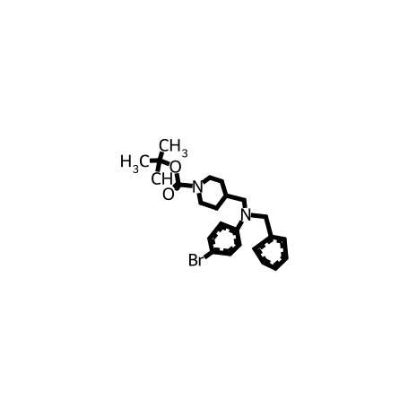 CC(C)(C)OC(=O)N1CCC(CN(Cc2ccccc2)c2ccc(Br)cc2)CC1